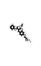 CCOC(=O)C(Cc1ccc(OCCN)cc1)C(C)Oc1ccccc1